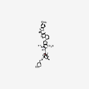 COc1ccc2sc(Nc3nnc4c(c3C)CCCN4c3ccc(/C(C=N)=C(\C)NCC4CC5(C)CC6(C)CC4CC(OCCN4CCNCC4)(C5)C6)c(C(=O)O)n3)nc2c1